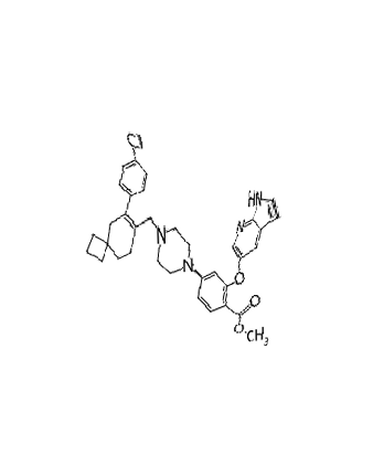 COC(=O)c1ccc(N2CCN(CC3=C(c4ccc(Cl)cc4)CC4(CCC4)CC3)CC2)cc1Oc1cnc2[nH]ccc2c1